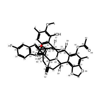 COc1c(C)cc2c(c1O)[C@H]1C3[C@@H]4SC[C@]5(NCCc6c5[nH]c5ccc(F)cc65)C(=O)COC[C@@H](c5c6c(c(C)c(OC(C)=O)c54)OCO6)N3[C@@H](C#N)[C@@H](C2)N1C